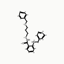 O=C(NOCCCOCc1ccccc1)c1ccccc1NCc1ccncc1